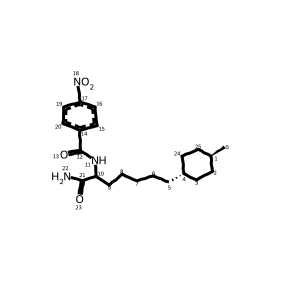 C[C@H]1CC[C@H](CCCCCC(NC(=O)c2ccc([N+](=O)[O-])cc2)C(N)=O)CC1